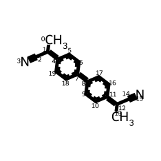 CC(C#N)=c1ccc(=c2ccc(=C(C)C#N)cc2)cc1